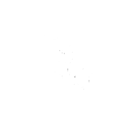 OC1=CC=C(C(F)F)N(c2cccc(-c3ccccc3)c2)C1